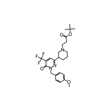 COc1ccc(Cn2nc(C3CCCN(CCC(=O)OC(C)(C)C)C3)cc(C(F)(F)F)c2=O)cc1